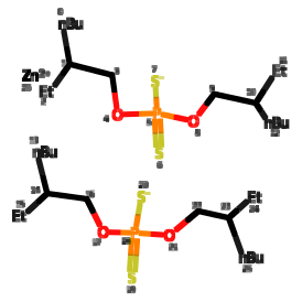 CCCCC(CC)COP(=S)([S-])OCC(CC)CCCC.CCCCC(CC)COP(=S)([S-])OCC(CC)CCCC.[Zn+2]